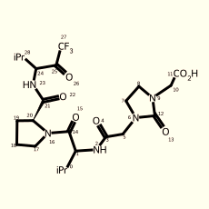 CC(C)C(NC(=O)CN1CCN(CC(=O)O)C1=O)C(=O)N1CCC[C@H]1C(=O)NC(C(=O)C(F)(F)F)C(C)C